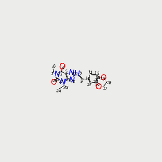 CCn1c(=O)c2[nH]c(C=Cc3ccc4c(c3)OCCO4)nc2n(CC)c1=O